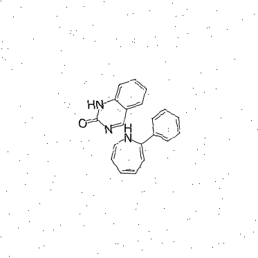 C1=CC=C(c2ccccc2)NC=C1.O=c1ncc2ccccc2[nH]1